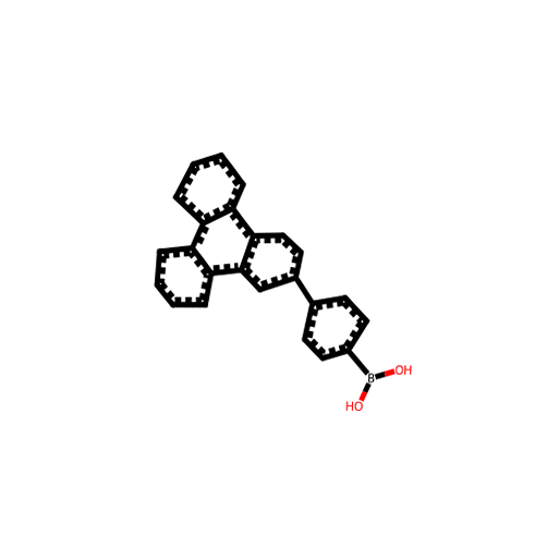 OB(O)c1ccc(-c2ccc3c4ccccc4c4ccccc4c3c2)cc1